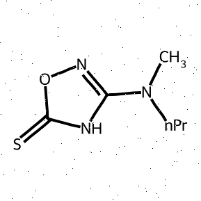 CCCN(C)c1noc(=S)[nH]1